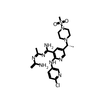 C=C(N)/N=C(C)\N=C(/N)c1cc([C@@H](C)N2CCN(S(C)(=O)=O)CC2)cnc1Nc1ccc(Cl)nc1